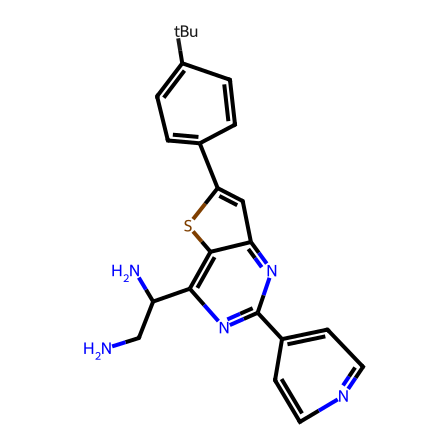 CC(C)(C)c1ccc(-c2cc3nc(-c4ccncc4)nc(C(N)CN)c3s2)cc1